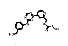 CC(C)(C)OC(=O)NCc1cc(-c2ncnc(Nc3cccc(CO)c3)n2)ccn1